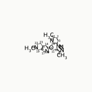 Cc1ccc(-n2nnc(C)c2COc2cc3c(cn2)CN(C)CC3)cn1